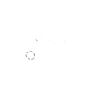 CC(C)N(CCCC(=O)O)C(=O)OCc1ccccc1